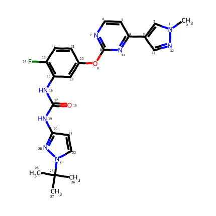 Cn1cc(-c2ccnc(Oc3ccc(F)c(NC(=O)Nc4ccn(C(C)(C)C)n4)c3)n2)cn1